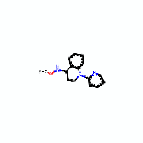 O=CONC1CCN(c2ccccn2)c2ccccc21